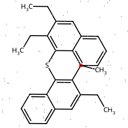 CCc1cc2ccccc2c(Sc2c(CC)c(CC)cc3ccccc23)c1CC